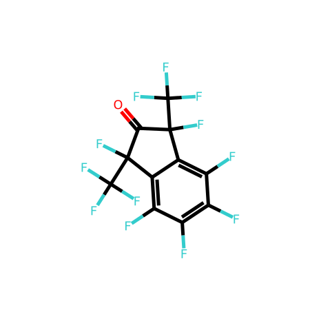 O=C1C(F)(C(F)(F)F)c2c(F)c(F)c(F)c(F)c2C1(F)C(F)(F)F